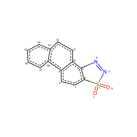 O=S1(=O)N=Nc2c1ccc1c2ccc2ccccc21